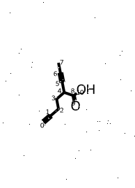 C#CCCC(C#CC)C(=O)O